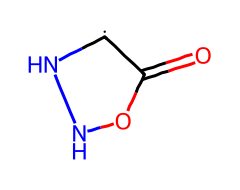 O=C1[CH]NNO1